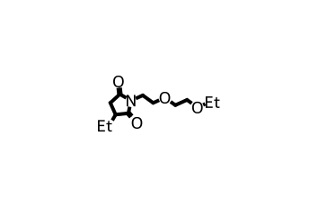 CCOCCOCCN1C(=O)CC(CC)C1=O